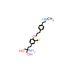 CNCCc1ccc(CCCOc2ccc(CCC(N)(CO)CO)cc2C(F)(F)F)cc1